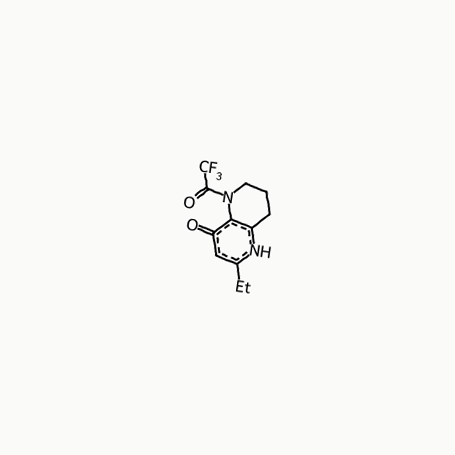 CCc1cc(=O)c2c([nH]1)CCCN2C(=O)C(F)(F)F